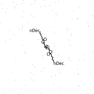 CCCCCCCCCCCCCCCCC(=O)OCCN1CCN(CCOC(=O)CCCCCCCCCCCCCCCC)CC1